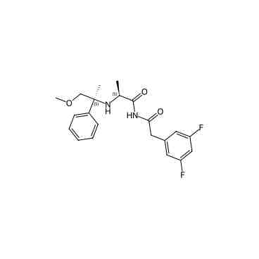 COC[C@@](C)(N[C@@H](C)C(=O)NC(=O)Cc1cc(F)cc(F)c1)c1ccccc1